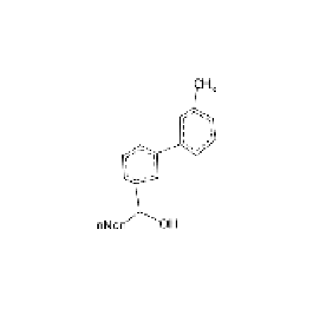 CCCCCCCCCC(O)c1cccc(-c2cccc(C)c2)c1